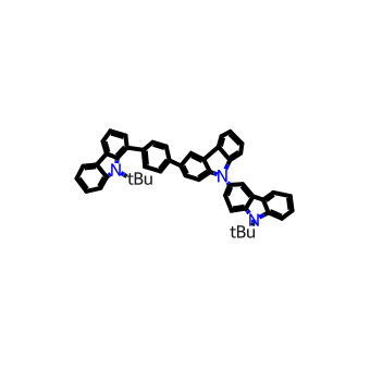 CC(C)(C)n1c2ccccc2c2cc(-n3c4ccccc4c4cc(-c5ccc(-c6cccc7c8ccccc8n(C(C)(C)C)c67)cc5)ccc43)ccc21